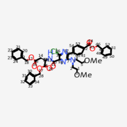 COCCN(CCOC)c1nc(C(=O)N[C@H](CC(=O)OCc2ccccc2)C(=O)OCc2ccccc2)c(Cl)nc1-c1ccc(C(=O)OCc2ccccc2)cc1